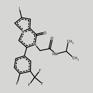 CC(C)NC(=O)Cn1c(-c2ccc(F)c(C(F)(F)F)c2)cn2cc(I)cc2c1=O